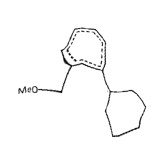 COCc1ccccc1[C]1CCCCC1